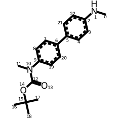 CNc1ccc(-c2ccc(N(C)C(=O)OC(C)(C)C)cc2)cc1